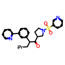 CC(C)CC(C(=O)C1CCN(S(=O)(=O)c2cccnc2)C1)c1cccc(-c2ccccn2)c1